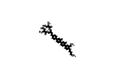 C=C(CO)C(=O)OCC(CCC1CCC(c2ccc(-c3ccc(-c4ccc(CCCCC)c(CC)c4)c(F)c3)c(F)c2)CC1)COC(=O)C(=C)CO